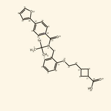 [2H]C(C)(C)N(Cc1ccccc1OCCC1CC(C(=O)O)C1)C(=O)c1ccc(-c2ccco2)cc1